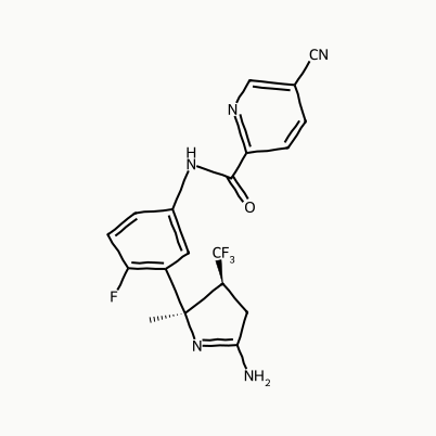 C[C@@]1(c2cc(NC(=O)c3ccc(C#N)cn3)ccc2F)N=C(N)C[C@@H]1C(F)(F)F